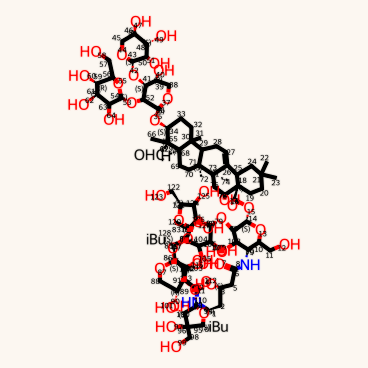 CC[C@H](C)[C@H](C[C@H](O)CC(=O)N[C@H]1C(CO)O[C@@H](OC(=O)[C@]23CCC(C)(C)CC2C2=CCC4C5(C)CC[C@H](O[C@@H]6OC[C@@H](O)[C@H](O[C@@H]7OC[C@@H](O)[C@H](O)C7O)C6O[C@@H]6OC(CO)[C@H](O)[C@H](O)C6O)[C@](C)(C=O)[C@@H]5CC[C@]4(C)[C@]2(C)CC3O)C(O[C@@H]2OC(C)[C@H](O[C@@H]3OC[C@@H](O)C(O[C@@H]4OCC(O)(CO)[C@@H]4O)C3O)C(O)C2O)C1O)NC(=O)C[C@@H](O)C[C@H](O[C@@H]1O[C@@H](CO)C(O)C1O)[C@@H](C)CC